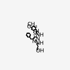 COc1ccc2nc(Nc3cc(Cc4ccccc4)nc(NCCCO)n3)sc2c1